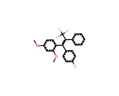 COc1ccc(C(=C(c2ccccc2)C(F)(F)F)c2ccc(F)cc2)c(OC)c1